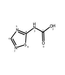 O=C(O)Nc1ncns1